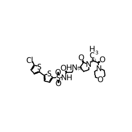 C[C@@H](C(=O)N1CCOCC1)N1CC[C@H](NCC(=O)NS(=O)(=O)c2ccc(-c3ccc(Cl)s3)s2)C1=O